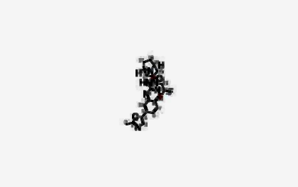 Cc1ncc(-c2ccc3cnc(NC(=O)N4[C@@H]5CC[C@H]4CC(NCC(F)F)C5)nc3c2)o1